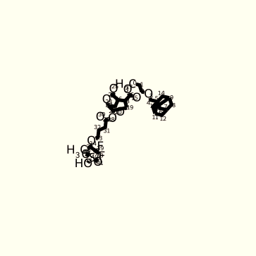 CCC(OCC12CC3CC(CC(C3)C1)C2)OC(=O)C1C2OC3C(OC(=O)C31)C2OC(=O)CCCOC(C)C(F)(F)S(=O)(=O)O